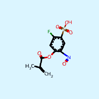 C=C(C)C(=O)Oc1cc(F)c(S(=O)(=O)O)cc1N=O